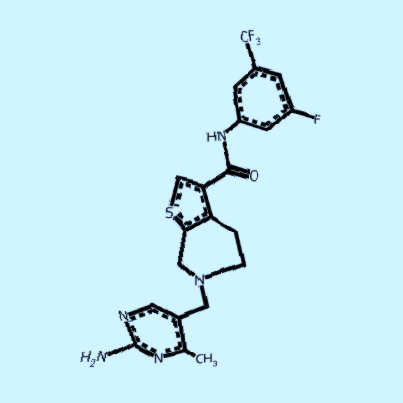 Cc1nc(N)ncc1CN1CCc2c(C(=O)Nc3cc(F)cc(C(F)(F)F)c3)csc2C1